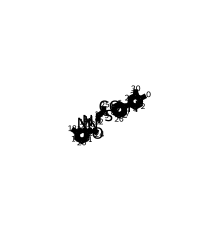 Cc1ccc(-c2ccc(SC(CCn3nnc4c(C)cccc4c3=O)C(=O)O)cc2)cc1C